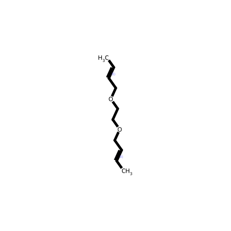 C/C=C/COCCOC/C=C/C